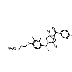 COCCCOc1ccc([C@@H](C)N2C[C@H]3C[C@@H]2CN3C(=O)c2ccc(Cl)cc2)c(C)c1C